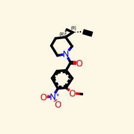 C#C[C@H]1C[C@]12CCCN(C(=O)c1ccc([N+](=O)[O-])c(OC)c1)C2